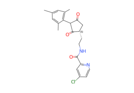 Cc1cc(C)c(C2C(=O)C[C@H](CCNC(=O)c3cc(Cl)ccn3)C2=O)c(C)c1